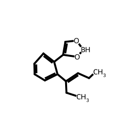 CCC=C(CC)c1ccccc1C1=COBO1